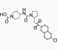 O=C(O)N1CCC(NC(=O)N2CCCC2CS(=O)(=O)c2ccc3cc(Cl)ccc3c2)CC1